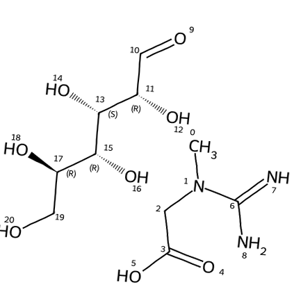 CN(CC(=O)O)C(=N)N.O=C[C@H](O)[C@@H](O)[C@H](O)[C@H](O)CO